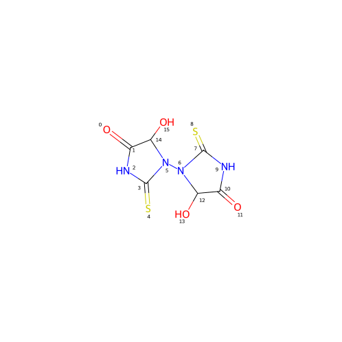 O=C1NC(=S)N(N2C(=S)NC(=O)C2O)C1O